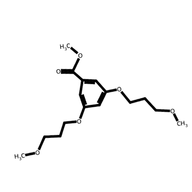 COCCCOc1cc(OCCCOC)cc(C(=O)OC)c1